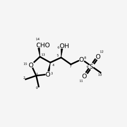 CC1(C)O[C@H]([C@@H](O)COS(C)(=O)=O)[C@H](C=O)O1